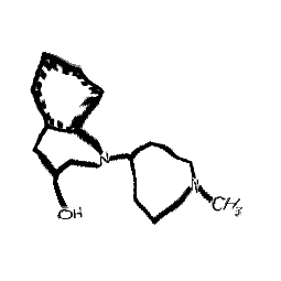 CN1CCC(N2c3ccccc3CC2O)CC1